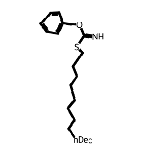 CCCCCCCCCCCCCCCCCCSC(=N)Oc1ccccc1